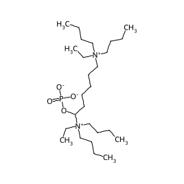 CCCC[N+](CC)(CCCC)CCCCCC(OP(=O)([O-])[O-])[N+](CC)(CCCC)CCCC